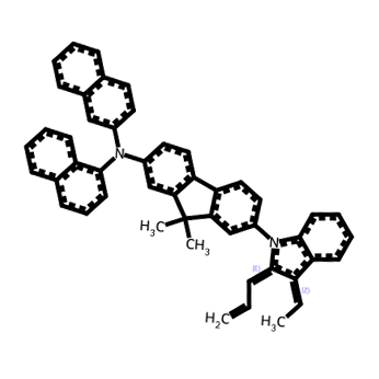 C=C/C=c1\c(=C/C)c2ccccc2n1-c1ccc2c(c1)C(C)(C)c1cc(N(c3ccc4ccccc4c3)c3cccc4ccccc34)ccc1-2